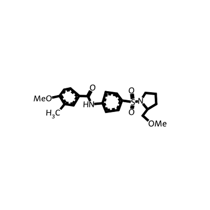 COCC1CCCN1S(=O)(=O)c1ccc(NC(=O)c2ccc(OC)c(C)c2)cc1